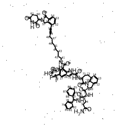 NC(=O)CC[C@H](NC(=O)[C@@H]1Cc2cccc3c2N1C(=O)[C@@H](NC(=O)c1cc2cc(C(F)(F)P(=O)(O)O)cc(C(=O)NCCCCCCCCC#Cc4cccc5c4CN(C4CCC(=O)NC4=O)C5=O)c2[nH]1)CC3)C(=O)NC(c1ccccc1)c1ccccc1